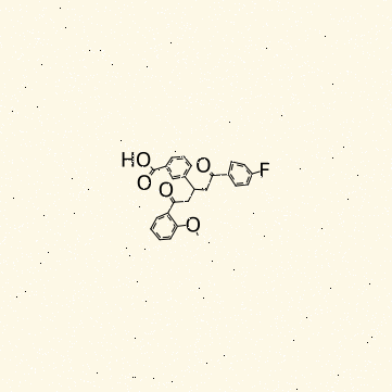 COc1ccccc1C(=O)CC(CC(=O)c1ccc(F)cc1)c1cccc(C(=O)O)c1